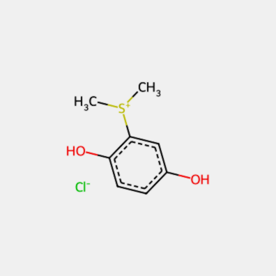 C[S+](C)c1cc(O)ccc1O.[Cl-]